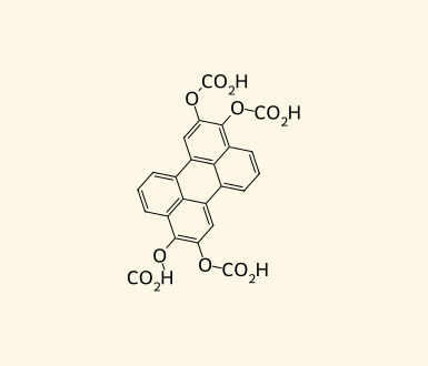 O=C(O)Oc1cc2c3cccc4c(OC(=O)O)c(OC(=O)O)cc(c5cccc(c1OC(=O)O)c52)c43